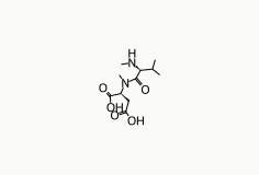 CN[C@H](C(=O)N(C)[C@@H](CC(=O)O)C(=O)O)C(C)C